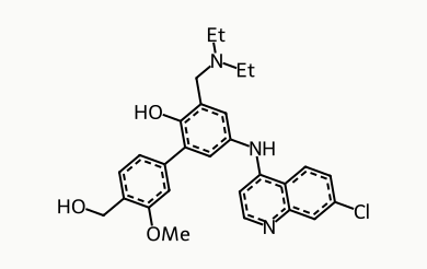 CCN(CC)Cc1cc(Nc2ccnc3cc(Cl)ccc23)cc(-c2ccc(CO)c(OC)c2)c1O